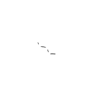 [SiH3]SSSS